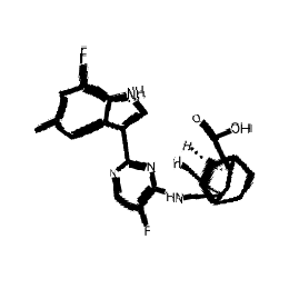 Cc1cc(F)c2[nH]cc(-c3ncc(F)c(N[C@H]4C5CCC(CC5)[C@@H]4C(=O)O)n3)c2c1